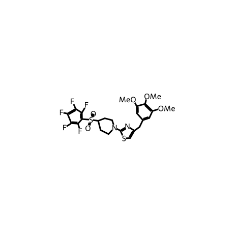 COc1cc(Cc2csc(N3CCC(S(=O)(=O)c4c(F)c(F)c(F)c(F)c4F)CC3)n2)cc(OC)c1OC